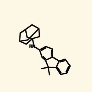 CC1(C)c2ccccc2-c2ccc(NC34CC5CC(CC(C5)C3)C4)cc21